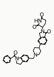 O=C1CCC(N2Cc3cc(C4CCN(Cc5ccc6c(c5)CCN6C(=O)c5ccccc5)CC4)ccc3C2=O)C(=O)N1